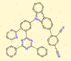 N#Cc1ccc(-c2ccc3c4ccccc4n(-c4ccc(-c5ccccn5)c(-c5nc(-c6ccccc6)nc(-c6ccccc6)n5)c4)c3c2)c(C#N)c1